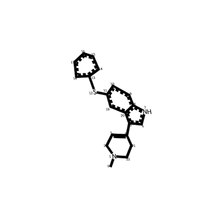 CN1CC=C(c2c[nH]c3ccc(Sc4ccccc4)cc23)CC1